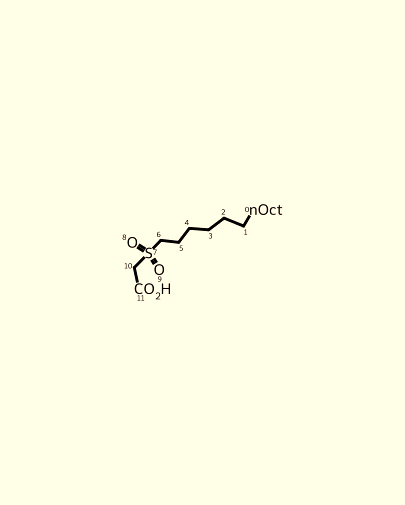 CCCCCCCCCCCCCCS(=O)(=O)CC(=O)O